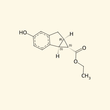 CCOC(=O)[C@H]1[C@@H]2Cc3cc(O)ccc3[C@@H]21